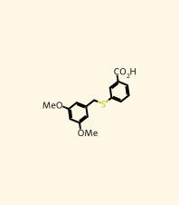 COc1cc(CSc2cccc(C(=O)O)c2)cc(OC)c1